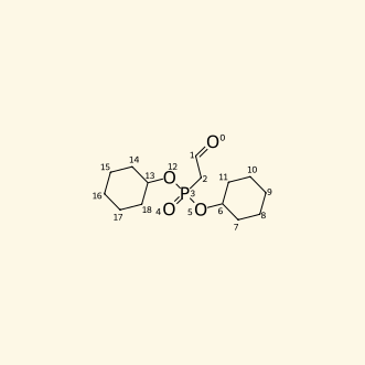 O=CCP(=O)(OC1CCCCC1)OC1CCCCC1